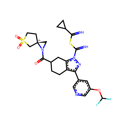 N=C(SC(=N)n1nc(-c2cncc(OC(F)F)c2)c2c1CC(C(=O)N1C[C@@]13CCS(=O)(=O)C3)CC2)C1CC1